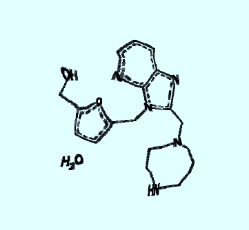 O.OCc1ccc(Cn2c(CN3CCNCC3)nc3cccnc32)o1